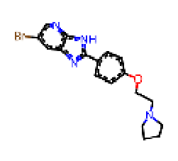 Brc1cnc2[nH]c(-c3ccc(OCCN4CCCC4)cc3)nc2c1